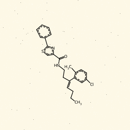 CCC/C=C(/CCNC(=O)c1csc(-c2ccccc2)n1)c1cc(Cl)ccc1C